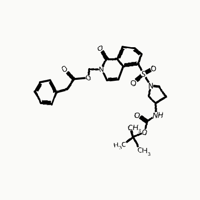 CC(C)(C)OC(=O)NC1CCN(S(=O)(=O)c2cccc3c(=O)n(COC(=O)Cc4ccccc4)ccc23)C1